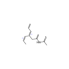 C=C/C=C(\C=C/C)CC(=C)NC(C)=S